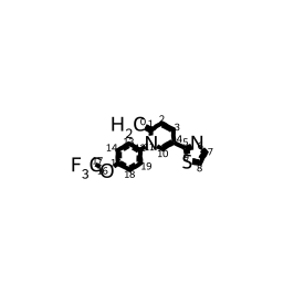 C=C1C=CC(c2nccs2)=CN1c1ccc(OC(F)(F)F)cc1